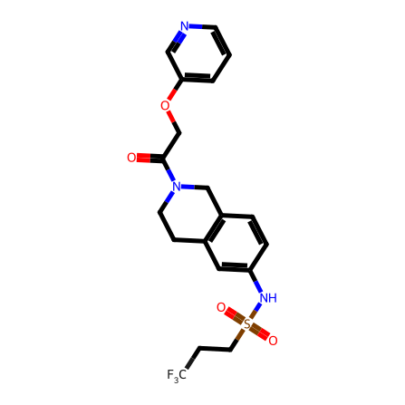 O=C(COc1cccnc1)N1CCc2cc(NS(=O)(=O)CCC(F)(F)F)ccc2C1